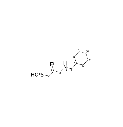 O=S(=O)(O)CC(F)CNCC1CCCCC1